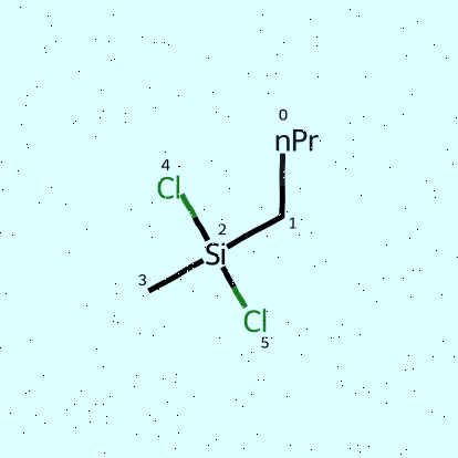 CCCC[Si](C)(Cl)Cl